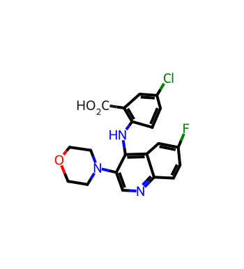 O=C(O)c1cc(Cl)ccc1Nc1c(N2CCOCC2)cnc2ccc(F)cc12